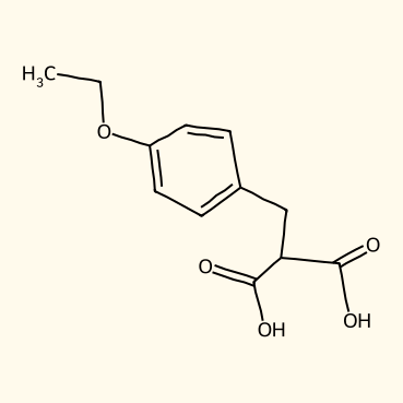 CCOc1ccc(CC(C(=O)O)C(=O)O)cc1